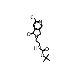 CC(C)(C)OC(=O)NCCN1Cc2cnc(Cl)cc2C1=O